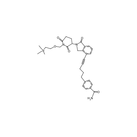 C[Si](C)(C)CCOCN1C(=O)CCC(N2Cc3c(C#CCCCc4ccc(C(N)=O)cc4)cccc3C2=O)C1=O